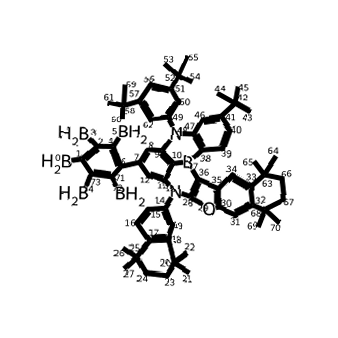 Bc1c(B)c(B)c(-c2cc3c4c(c2)N(c2ccc5c(c2)C(C)(C)CCC5(C)C)c2oc5cc6c(cc5c2B4c2ccc(C(C)(C)C)cc2N3c2cc(C(C)(C)C)cc(C(C)(C)C)c2)C(C)(C)CCC6(C)C)c(B)c1B